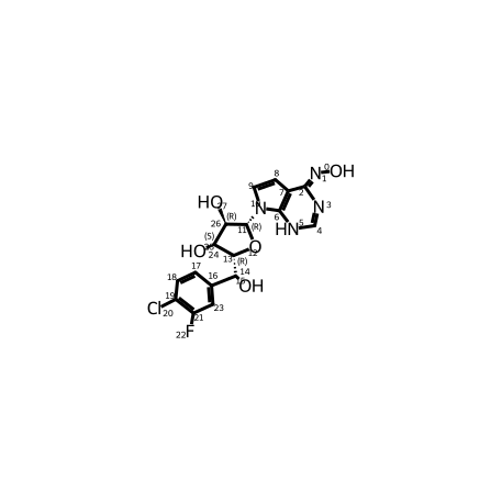 ON=c1nc[nH]c2c1ccn2[C@@H]1O[C@H](C(O)c2ccc(Cl)c(F)c2)[C@@H](O)[C@H]1O